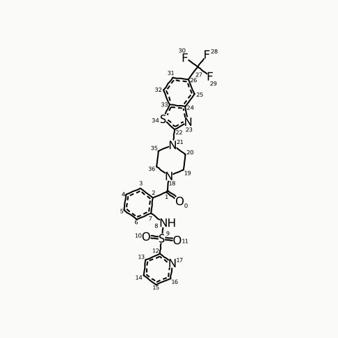 O=C(c1ccccc1NS(=O)(=O)c1ccccn1)N1CCN(c2nc3cc(C(F)(F)F)ccc3s2)CC1